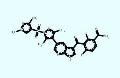 Cc1nn(C)cc1S(=O)(=O)n1nc(C)c(-c2cnc3[nH]cc(C(=O)c4c(F)ccc(C(N)=O)c4F)c3c2)c1C